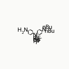 CCCCN(CCCC)c1ccc(Nc2ccc(N)cc2)cc1.[F][Sb-]([F])([F])([F])([F])[F]